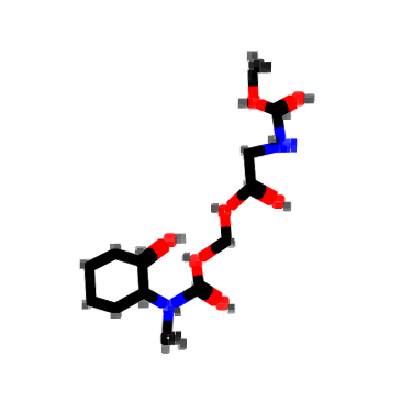 CN(C(=O)OCOC(=O)CNC(=O)OC(C)(C)C)C1CCCCC1=O